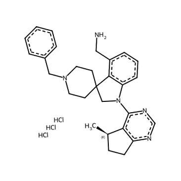 C[C@@H]1CCc2ncnc(N3CC4(CCN(Cc5ccccc5)CC4)c4c(CN)cccc43)c21.Cl.Cl.Cl